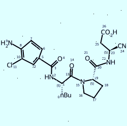 CCCC[C@H](NC(=O)c1ccc(N)c(Cl)c1)C(=O)N1CCC[C@H]1C(=O)N[C@H](C#N)CC(=O)O